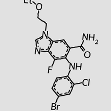 CCOCCn1cnc2c(F)c(Nc3ccc(Br)cc3Cl)c(C(N)=O)cc21